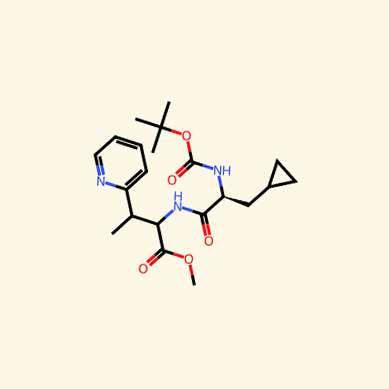 COC(=O)C(NC(=O)[C@H](CC1CC1)NC(=O)OC(C)(C)C)C(C)c1ccccn1